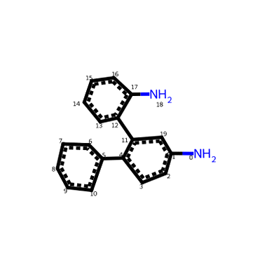 Nc1ccc(-c2ccccc2)c(-c2ccccc2N)c1